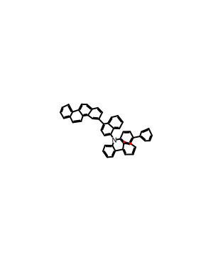 c1ccc(-c2ccc(N(c3ccccc3-c3ccccc3)c3ccc(-c4ccc5ccc6c7ccccc7ccc6c5c4)c4ccccc34)cc2)cc1